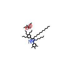 CCCCCCCCCCCCC1=C(c2cc(CCC)c(CCC)c(CCC)c2)[N+](=[N-])C(c2cc(C)c(C)c(C)c2)=C1CCCCCC.CC[O][Ni][O]CC